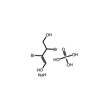 O=P(O)(O)O.OC=C(Br)C(Br)CO.[NaH]